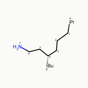 CC(C)CCC[C@@H](CCN)C(C)(C)C